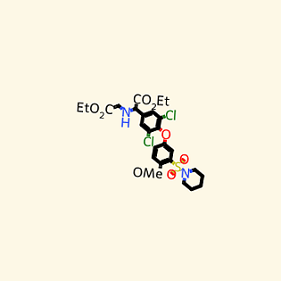 CCOC(=O)CNC(C(=O)OCC)c1cc(Cl)c(Oc2ccc(OC)c(S(=O)(=O)N3CCCCC3)c2)c(Cl)c1